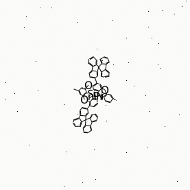 CCC[Si]12c3c4cc(C)cc3Oc3c(-c5ccc6c(c5)C5(c7ccccc7-c7ccccc75)c5ccccc5-6)cc5c(c31)N(c1ccc(C)cc1O5)c1ccc(-c3ccc5c(c3)C3(c6ccccc6-c6ccccc63)c3ccccc3-5)c(c12)O4